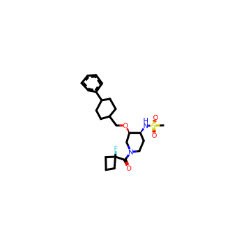 CS(=O)(=O)N[C@H]1CCN(C(=O)C2(F)CCC2)C[C@H]1OCC1CCC(c2ccccc2)CC1